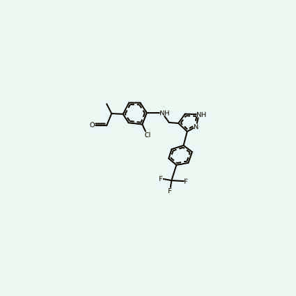 CC(C=O)c1ccc(NCc2c[nH]nc2-c2ccc(C(F)(F)F)cc2)c(Cl)c1